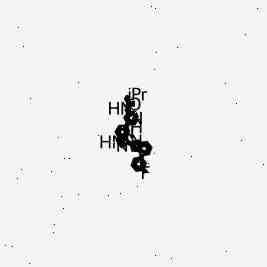 CC(C)CC(=O)Nc1cncc(-c2ccc3[nH]nc(-c4cc5c(-c6cccc(F)c6)cccc5[nH]4)c3n2)c1